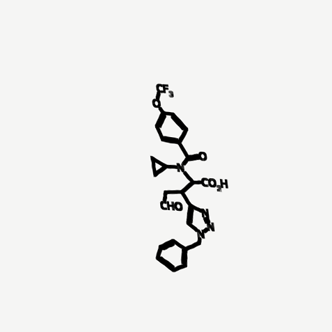 O=CCC(c1cn(Cc2ccccc2)nn1)C(C(=O)O)N(C(=O)c1ccc(OC(F)(F)F)cc1)C1CC1